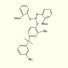 CCCCCCCCCc1ccccc1OP(Oc1ccccc1CCCCCCCCC)Oc1ccc(C(C)(C)c2cc[c]c(C(C)(C)C)c2)cc1C(C)(C)C